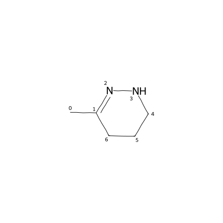 CC1=NNCCC1